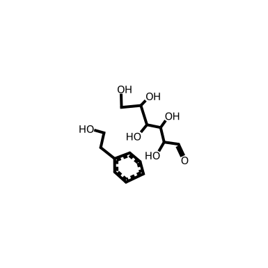 O=CC(O)C(O)C(O)C(O)CO.OCCc1ccccc1